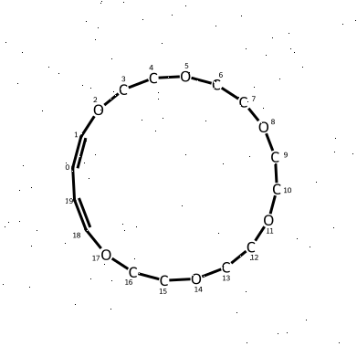 C1=COCCOCCOCCOCCOCCOC=C1